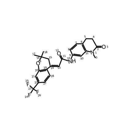 CN1C(=O)CCc2ccc(NC(=O)/C=C3\CC(C)(C)Oc4cc(C(F)(F)F)ccc43)cc21